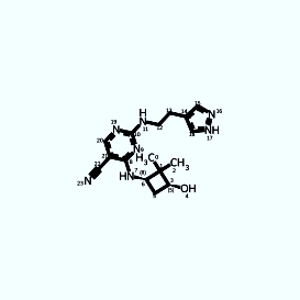 CC1(C)[C@@H](O)C[C@H]1Nc1nc(NCCc2cn[nH]c2)ncc1C#N